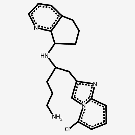 NCCCC(Cc1cn2c(Cl)cccc2n1)NC1CCCc2cccnc21